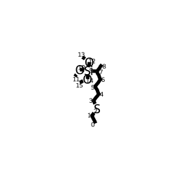 CCSCCCCC(C)[Si](OC)(OC)OC